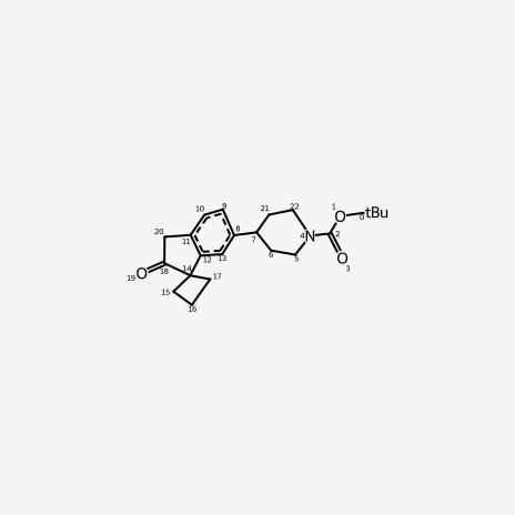 CC(C)(C)OC(=O)N1CCC(c2ccc3c(c2)C2(CCC2)C(=O)C3)CC1